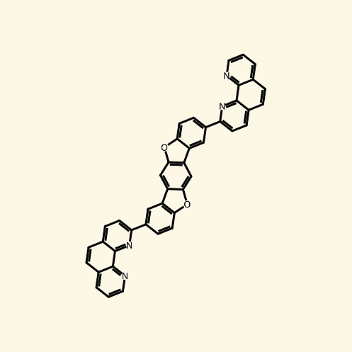 c1cnc2c(c1)ccc1ccc(-c3ccc4oc5cc6c(cc5c4c3)oc3ccc(-c4ccc5ccc7cccnc7c5n4)cc36)nc12